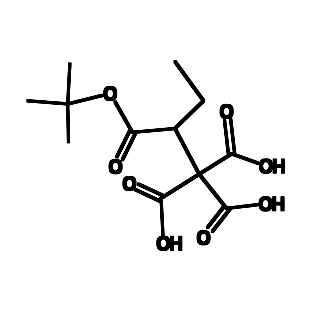 CCC(C(=O)OC(C)(C)C)C(C(=O)O)(C(=O)O)C(=O)O